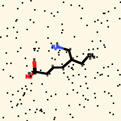 CCC(CN)CCCC(=O)O